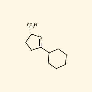 O=C(O)[C@H]1CCC(C2CCCCC2)=N1